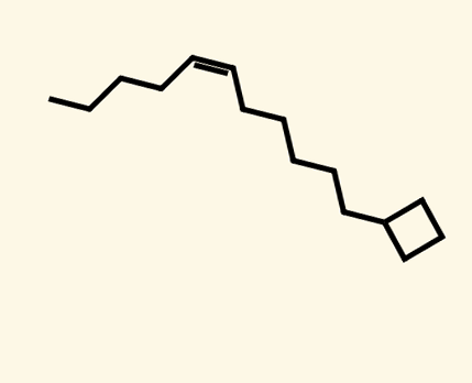 CCCC/C=C\CCCCCC1CCC1